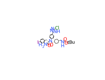 CC(C)(C)OC(=O)NC[C@H]1CC[C@H](C(=O)N(c2ccc(-c3nnc(Cl)[nH]3)cc2)[C@@H](Cc2ccc(I)cc2)C(N)=O)CC1